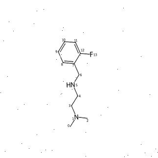 CN(C)CCNCc1ccccc1F